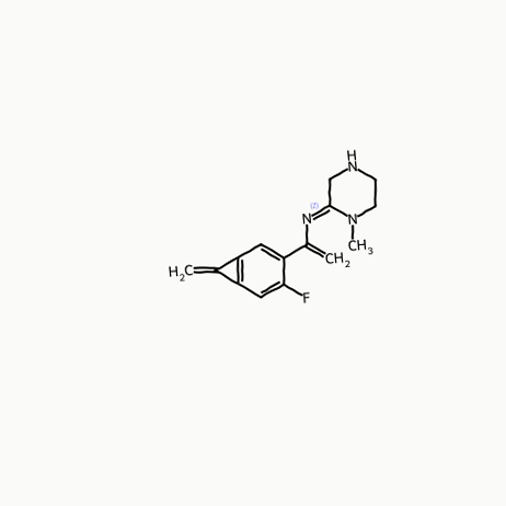 C=C(/N=C1/CNCCN1C)c1cc2c(cc1F)C2=C